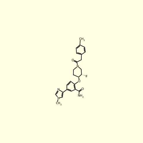 Cc1ccc(CC(=O)N2CC[C@H](Oc3ccc(-c4cn(C)cn4)cc3C(N)=O)[C@@H](F)C2)cc1